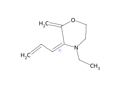 C=C/C=C1\C(=C)OCCN1CC